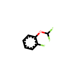 Fc1c[c]ccc1OC(F)F